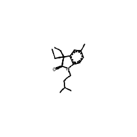 CCC1(CC)C(=O)N(CCC(C)C)c2ccc(C)cc21